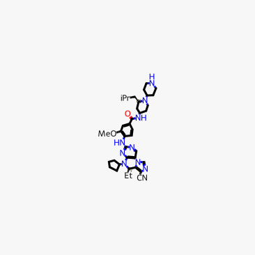 CC[C@@H]1c2c(C#N)ncn2-c2cnc(Nc3ccc(C(=O)NC4CCN(C5CCNCC5)[C@H](CC(C)C)C4)cc3OC)nc2N1C1CCCC1